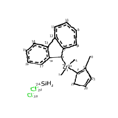 CC1=[C]([Zr+2]([CH3])([CH3])[CH]2c3ccccc3-c3ccccc32)CC=C1.[Cl-].[Cl-].[SiH4]